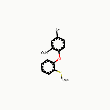 COSc1ccccc1Oc1ccc(C(C)=O)cc1[N+](=O)[O-]